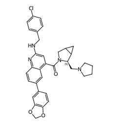 O=C(c1cc(NCc2ccc(Cl)cc2)nc2ccc(-c3ccc4c(c3)OCO4)cc12)N1CC2CC2[C@H]1CN1CCCC1